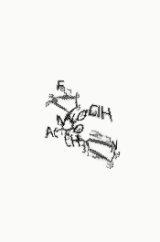 CC(=O)c1nn(-c2ccc(F)cc2)c(=O)c(OCc2cccnc2)c1C.Cl